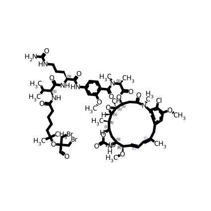 COc1cc(NC(=O)[C@H](CCCNC(N)=O)NC(=O)[C@@H](NC(=O)CCCCC(C)(C)OC(C=O)(CBr)CBr)C(C)C)ccc1C(=O)N(C)[C@@H](C)C(=O)O[C@H]1CC(=O)N(C)c2cc(cc(OC)c2Cl)C/C(C)=C/C=C/[C@@H](OC)[C@@]2(O)C[C@H](OC(=O)N2)[C@@H](C)[C@@H]2O[C@@]12C